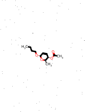 CCCCO[C@@H]1C=C[C@H](OC(C)=O)[C@@H](C)O1